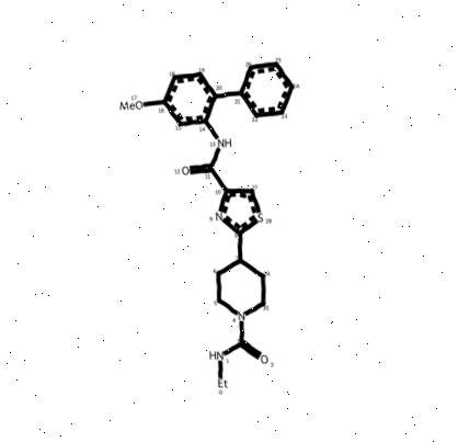 CCNC(=O)N1CCC(c2nc(C(=O)Nc3cc(OC)ccc3-c3ccccc3)cs2)CC1